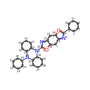 c1ccc(-c2nc3cc4oc(N5c6ccccc6N(c6ccccc6)c6ccccc65)nc4cc3o2)cc1